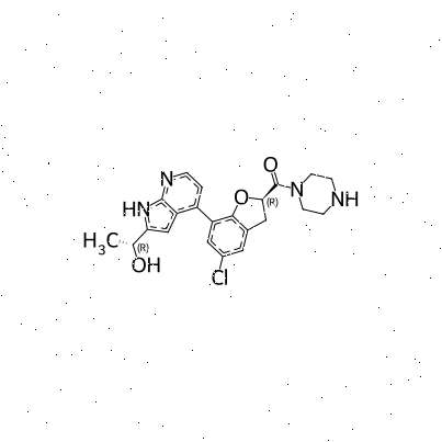 C[C@@H](O)c1cc2c(-c3cc(Cl)cc4c3O[C@@H](C(=O)N3CCNCC3)C4)ccnc2[nH]1